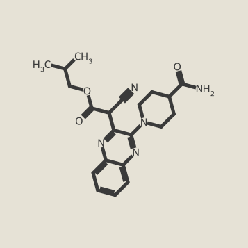 CC(C)COC(=O)C(C#N)c1nc2ccccc2nc1N1CCC(C(N)=O)CC1